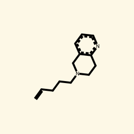 C=CCCCN1CCc2ncccc2C1